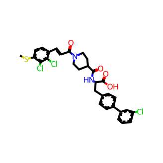 CSc1ccc(C=CC(=O)N2CCC(C(=O)NC(Cc3ccc(-c4cccc(Cl)c4)cc3)C(=O)O)CC2)c(Cl)c1Cl